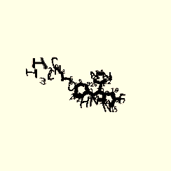 CN(C)CCCOc1ccc(-c2[nH]c3ncc(F)cc3c2-c2cncnc2)cc1